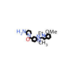 CCn1c(-c2nc3cc(C(=O)N4CCC[C@@H](N)C4)ccc3n2C)cc2cccc(OC)c21